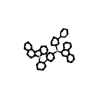 C1=CCC(c2cccc(N(c3ccc(-c4ccccc4-n4c5ccccc5c5c6ccccc6ccc54)cc3)c3cc4ccccc4c4ccccc34)c2)C=C1